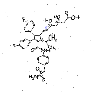 CC(C)n1c(/C=C/[C@@H](O)C[C@@H](O)CC(=O)O)c(-c2ccc(F)cc2)c(-c2ccc(F)cc2)c1C(=O)Nc1ccc(CS(N)(=O)=O)cc1